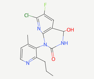 CCCc1nccc(C)c1N1C(=O)NC(O)c2cc(F)c(Cl)nc21